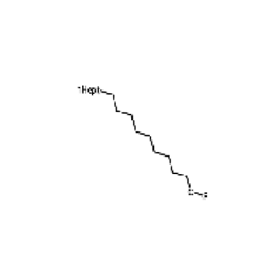 CCCCCCCCCCCCCCCCOF